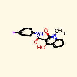 Cn1c(=O)c(C(=O)Nc2ccc(I)cc2)c(O)c2ccccc21